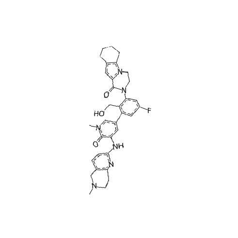 CN1CCc2nc(Nc3cc(-c4cc(F)cc(N5CCn6c(cc7c6CCCC7)C5=O)c4CO)cn(C)c3=O)ccc2C1